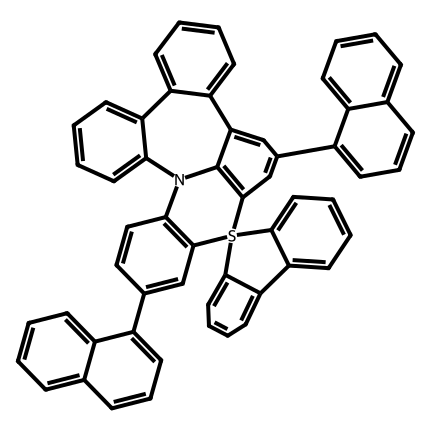 c1ccc2c(c1)-c1ccccc1N1c3ccc(-c4cccc5ccccc45)cc3S3(c4ccccc4-c4ccccc43)c3cc(-c4cccc5ccccc45)cc-2c31